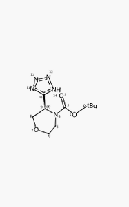 CC(C)(C)OC(=O)N1CCOC[C@H]1c1nnn[nH]1